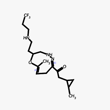 C/C1=C\C/C(C(=O)CC2CC2C)=N\NCC(CCNCCC(F)(F)F)O1